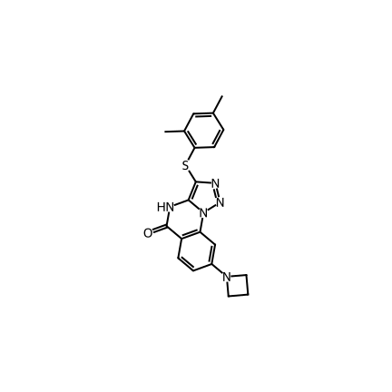 Cc1ccc(Sc2nnn3c2[nH]c(=O)c2ccc(N4CCC4)cc23)c(C)c1